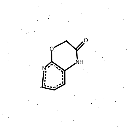 O=C1COc2n[c]ccc2N1